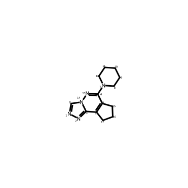 c1nnc2c3c(c(N4CCCCC4)nn12)CCC3